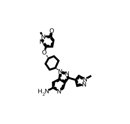 Cn1cc(-c2nn([C@H]3CC[C@@H](Oc4ccc(=O)n(C)n4)CC3)c3cc(N)ncc23)cn1